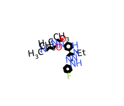 CCNc1nc(Nc2cccc(F)c2)ncc1[C@@H]1CCC[C@H](NC(=O)[C@H](C)N(C)C(=O)/C=C/CN(C)C)C1